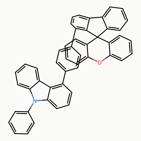 c1ccc(-n2c3ccccc3c3c(-c4ccc(-c5cccc6c5C5(c7ccccc7Oc7ccccc75)c5ccccc5-6)cc4)cccc32)cc1